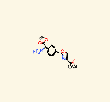 COC(=O)c1coc(-c2ccc(C(N)C(=O)OC(C)(C)C)cc2)n1